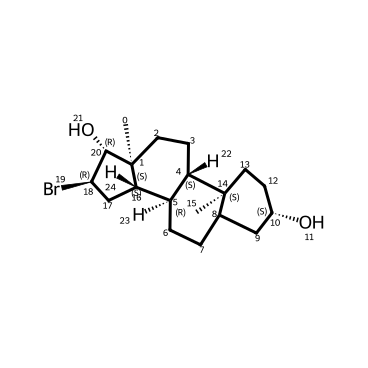 C[C@]12CC[C@H]3[C@@H](CCC4C[C@@H](O)CC[C@@]43C)[C@@H]1C[C@@H](Br)[C@@H]2O